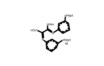 CCCCCCCCC(=Nc1cccc(CCCCCCC)c1)C(CCCCCC)=Nc1cccc(CCCCCCC)c1.[Ni]